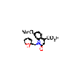 COc1ccc2c(C(=O)O)cc(=O)n(CC3C=CCCO3)c2c1